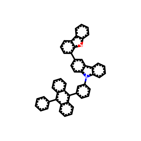 c1ccc(-c2c3ccccc3c(-c3cccc(-n4c5ccccc5c5cc(-c6cccc7c6oc6ccccc67)ccc54)c3)c3ccccc23)cc1